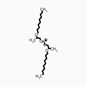 CCCCCCCCCCOC(C)CO[N+](=O)OCC(C)OCCCCCCCCCC